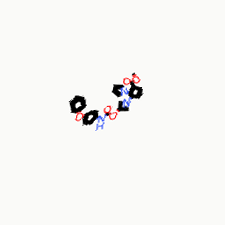 COC(=O)c1cccc(N2CC(OC(=O)Nc3ccc(Oc4ccccc4)cc3)C2)c1-n1cccc1